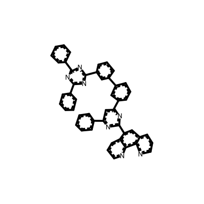 c1ccc(-c2cc(-c3cccc(-c4cccc(-c5nc(-c6ccccc6)nc(-c6ccccc6)n5)c4)c3)nc(-c3cc4cccnc4c4ncccc34)n2)cc1